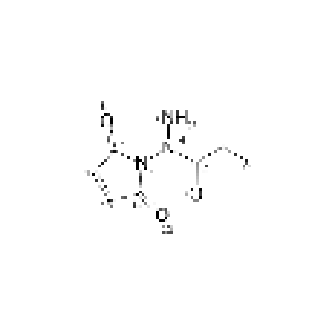 CCC(=O)N(N)N1C(=O)C=CC1=O